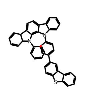 C1=CC2c3ccc4c5ccccc5n(-c5ccc(-c6ccc7sc8ccccc8c7c6)cc5)c4c3N(c3ccccc3)C2C=C1